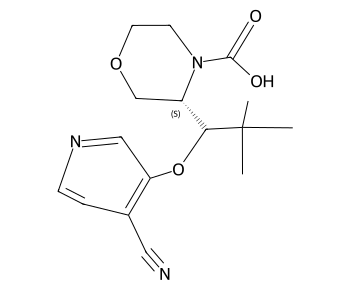 CC(C)(C)C(Oc1cnccc1C#N)[C@@H]1COCCN1C(=O)O